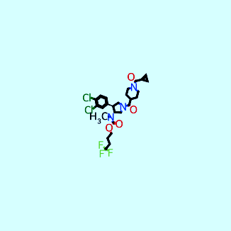 CN(C(=O)OCCCC(F)(F)F)[C@H]1CN(C(=O)C2CCN(C(=O)C3=CC3)CC2)C[C@@H]1c1ccc(Cl)c(Cl)c1